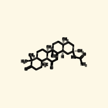 CC1(C)C(=O)CC[C@@]2(C)C1CC[C@]1(C)C2C(=O)C=C2[C@@H]3C[C@](C)(NC(N)=O)CC[C@]3(C)CC[C@]21C